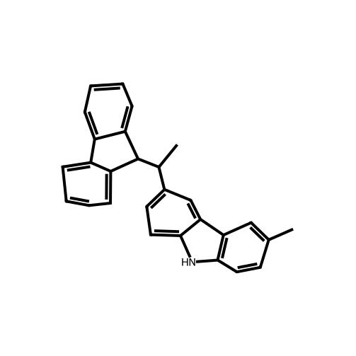 Cc1ccc2[nH]c3ccc(C(C)C4c5ccccc5-c5ccccc54)cc3c2c1